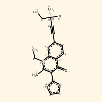 CCn1c(N)c(-c2ncc[nH]2)c(=O)c2ccc(C#C[C@](C)(O)CO)nc21